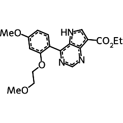 CCOC(=O)c1c[nH]c2c(-c3ccc(OC)cc3OCCOC)ncnc12